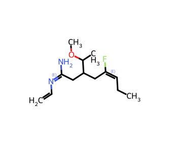 C=C/N=C(/N)CC(C/C(F)=C\CC)C(C)OC